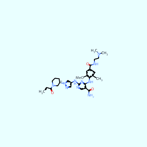 C=CC(=O)N1CCC[C@@H](n2cc(Nc3ncc(C(N)=O)c(Nc4c(C)cc(C(=O)NCCN(C)C)cc4OC)n3)cn2)C1